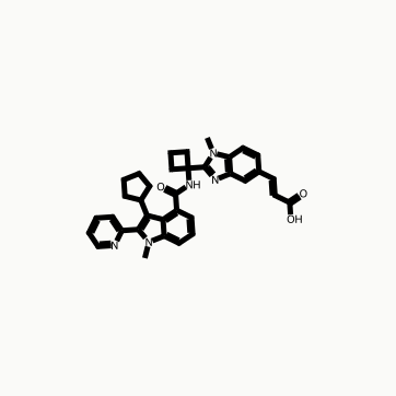 Cn1c(C2(NC(=O)c3cccc4c3c(C3CCCC3)c(-c3ccccn3)n4C)CCC2)nc2cc(C=CC(=O)O)ccc21